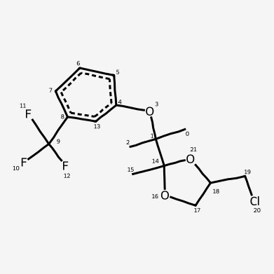 CC(C)(Oc1cccc(C(F)(F)F)c1)C1(C)OCC(CCl)O1